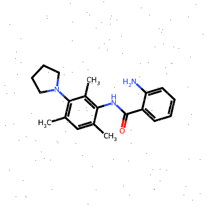 Cc1cc(C)c(N2CCCC2)c(C)c1NC(=O)c1ccccc1N